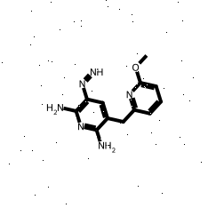 COc1cccc(Cc2cc(N=N)c(N)nc2N)n1